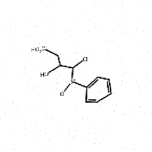 O=C(O)CC(O)C(Cl)[S+]([O-])c1ccccc1